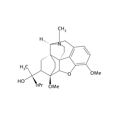 CCC[C@](C)(O)C1C[C@@]23CC[C@]1(OC)C1Oc4c(OC)ccc5c4[C@@]12CCN(C)[C@@H]3C5